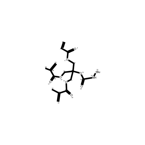 C=CC(=O)OCC(COC(=O)C(=C)C)(COC(=O)C(=C)C)OC(=O)NC(C)(C)C